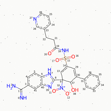 N=C(N)c1ccc2[nH]c(C3([N+](=O)[O-])C=C(S(=O)(=O)NC(=O)CCc4cccnc4)C=C(c4ccccc4)C3O)nc2c1